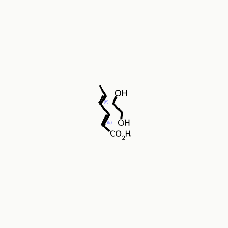 C/C=C/C=C/C(=O)O.OCCO